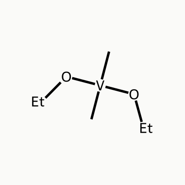 CC[O][V]([CH3])([CH3])[O]CC